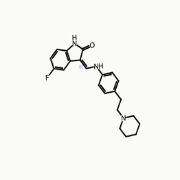 O=C1Nc2ccc(F)cc2/C1=C/Nc1ccc(CCN2CCCCC2)cc1